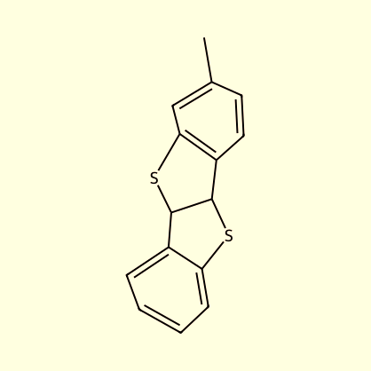 Cc1ccc2c(c1)SC1c3ccccc3SC21